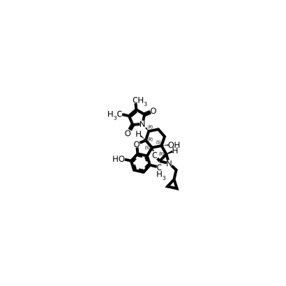 CC1=C(C)C(=O)N([C@@H]2CC[C@@]3(O)[C@H]4C(C[C@@]35c3c(C)ccc(O)c3O[C@@H]25)N4CC2CC2)C1=O